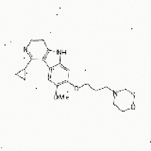 COc1cc2c(cc1OCCCN1CCOCC1)[nH]c1ccnc(C3CC3)c12